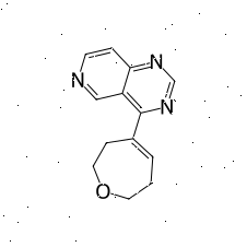 C1=C(c2ncnc3ccncc23)CCOCC1